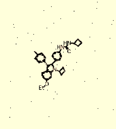 CCOc1ccc2c(-c3ccc(C)cc3)c(-c3ccc(NC(=O)NC4CCC4)cc3)n(C3CCC3)c2c1